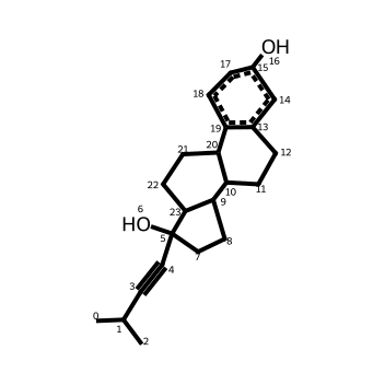 CC(C)C#CC1(O)CCC2C3CCc4cc(O)ccc4C3CCC21